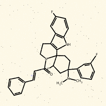 CN(C)C1(c2cccc(F)c2)CCC2(c3[nH]c4ccc(F)cc4c3CCN2C(=O)/C=C/c2ccccc2)C(F)C1